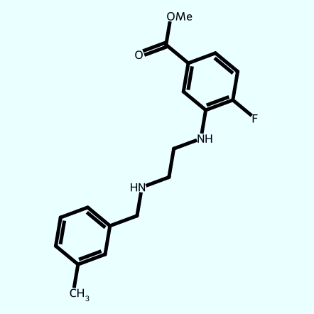 COC(=O)c1ccc(F)c(NCCNCc2cccc(C)c2)c1